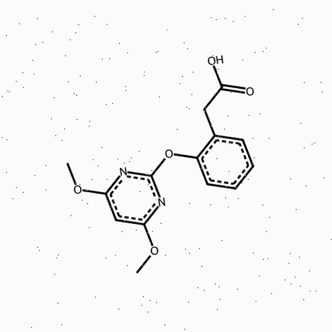 COc1cc(OC)nc(Oc2ccccc2CC(=O)O)n1